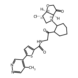 Cc1cnncc1-c1ccc(C(=O)NCC(=O)C2CCCCC2N2C[C@H](Cl)[C@H]3OCC(=O)[C@H]32)s1